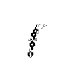 CCOC(=O)CC1COc2cc(C(=O)Nc3ccc(C=NN4CCOCC4)cc3)ccc2C1